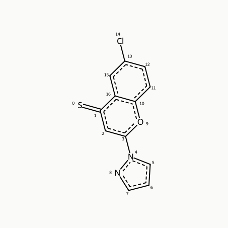 S=c1cc(-n2cccn2)oc2ccc(Cl)cc12